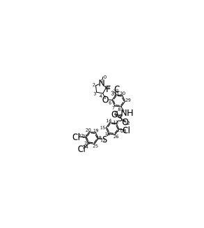 CN1CCC(Oc2cc(NS(=O)(=O)c3ccc(Sc4ccc(Cl)c(Cl)c4)cc3Cl)ccc2C(F)(F)F)C1